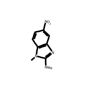 CNc1nc2cc([N+](=O)[O-])ccc2n1C